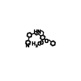 COc1cc2c(cc1OCc1ccccc1)CCNC2C=Cc1cccc(-c2ccncc2)c1